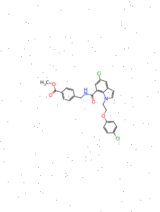 COC(=O)c1ccc(CNC(=O)c2cc(Cl)cc3ccn(CCOc4ccc(Cl)cc4)c23)cc1